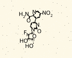 NC(=O)c1ncc([N+](=O)[O-])cc1-c1ccn([C@H]2O[C@H](CO)[C@@H](O)[C@H]2F)c(=O)n1